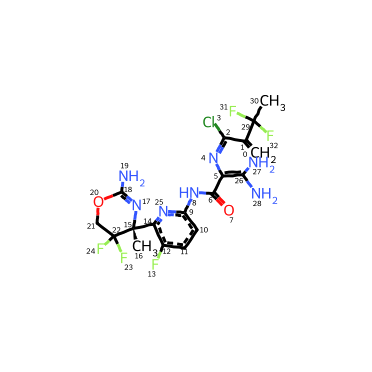 C=C(/C(Cl)=N\C(C(=O)Nc1ccc(F)c([C@@]2(C)N=C(N)OCC2(F)F)n1)=C(N)N)C(C)(F)F